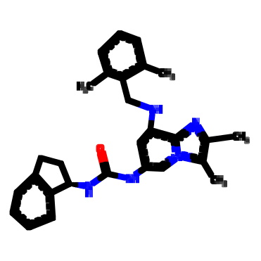 Cc1cccc(C)c1CNc1cc(NC(=O)N[C@@H]2CCc3ccccc32)cn2c(C)c(C)nc12